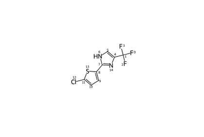 FC(F)(F)c1c[nH]c(-c2ccc(Cl)s2)n1